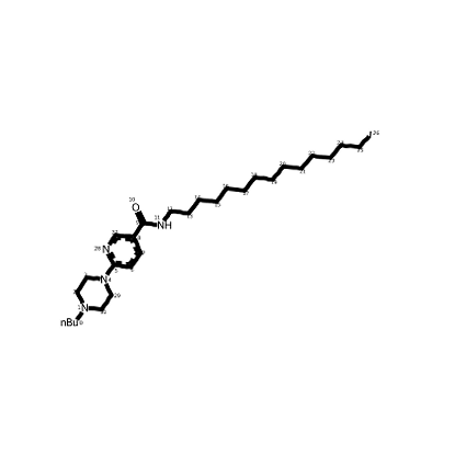 CCCCN1CCN(c2ccc(C(=O)NCCCCCCCCCCCCCCI)cn2)CC1